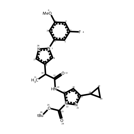 COc1cc(F)cc(-n2cc(C(C)C(=O)Nc3cc(C4CC4)nn3C(=O)OC(C)(C)C)cn2)c1